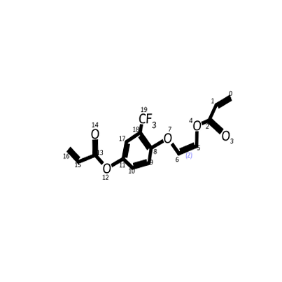 C=CC(=O)O/C=C\Oc1ccc(OC(=O)C=C)cc1C(F)(F)F